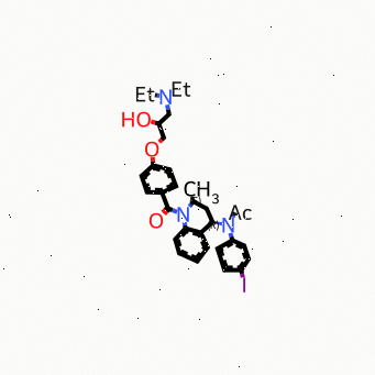 CCN(CC)CC(O)COc1ccc(C(=O)N2c3ccccc3[C@H](N(C(C)=O)c3ccc(I)cc3)C[C@@H]2C)cc1